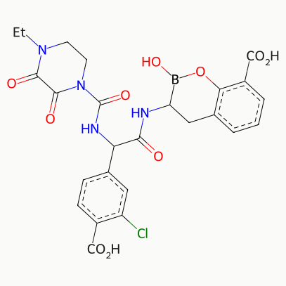 CCN1CCN(C(=O)NC(C(=O)NC2Cc3cccc(C(=O)O)c3OB2O)c2ccc(C(=O)O)c(Cl)c2)C(=O)C1=O